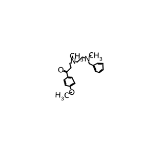 COc1ccc(C(=O)CCN(C)CCN(C)Cc2ccccc2)cc1